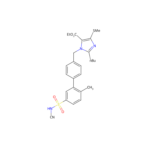 CCCCc1nc(SC)c(C(=O)OCC)n1Cc1ccc(-c2cc(S(=O)(=O)NC#N)ccc2C)cc1